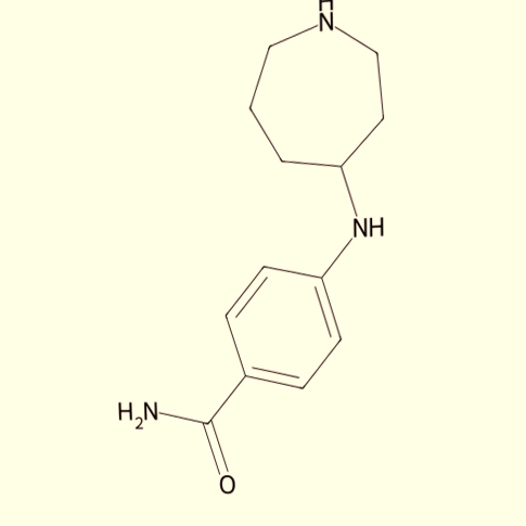 NC(=O)c1ccc(NC2CCCNCC2)cc1